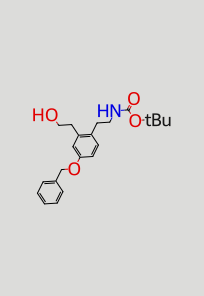 CC(C)(C)OC(=O)NCCc1ccc(OCc2ccccc2)cc1CCO